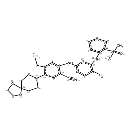 CCc1cc(Nc2ncc(Cl)c(Nc3ccccc3P(C)(C)=O)n2)c(C#N)cc1N1CCC2(CC1)OCCO2